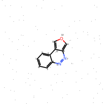 [c]1ccc2c(c1)nnc1cocc12